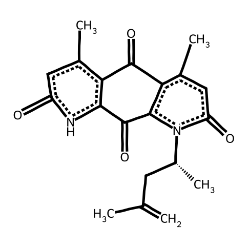 C=C(C)C[C@@H](C)n1c2c(c(C)cc1=O)C(=O)c1c(C)cc(=O)[nH]c1C2=O